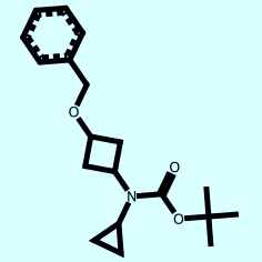 CC(C)(C)OC(=O)N(C1CC1)C1CC(OCc2ccccc2)C1